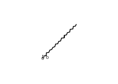 CCCCCCCCC=CCCCCCCCCCCCC(=O)N=O